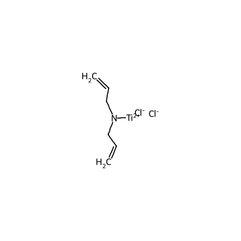 C=CC[N]([Ti+2])CC=C.[Cl-].[Cl-]